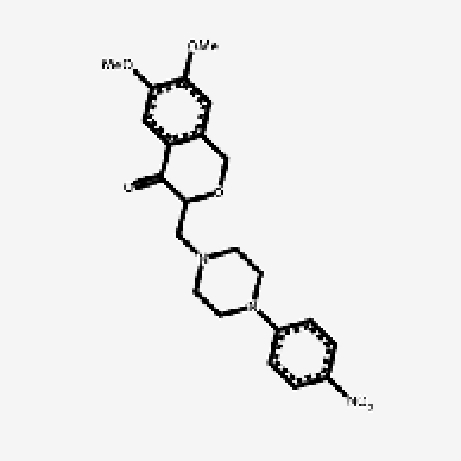 COc1cc2c(cc1OC)C(=O)C(CN1CCN(c3ccc([N+](=O)[O-])cc3)CC1)OC2